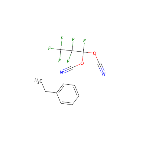 CCc1ccccc1.N#COC(F)(OC#N)C(F)(F)C(F)(F)F